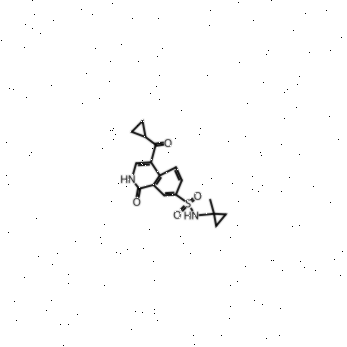 CC1(NS(=O)(=O)c2ccc3c(C(=O)C4CC4)c[nH]c(=O)c3c2)CC1